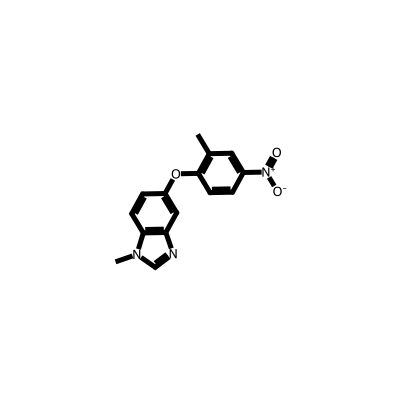 Cc1cc([N+](=O)[O-])ccc1Oc1ccc2c(c1)ncn2C